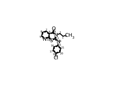 CCCn1c(=O)c2cccnc2s/c1=N\c1ccc(Cl)cc1